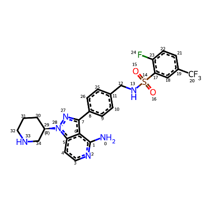 Nc1nccc2c1c(-c1ccc(CNS(=O)(=O)c3cc(C(F)(F)F)ccc3F)cc1)nn2[C@@H]1CCCNC1